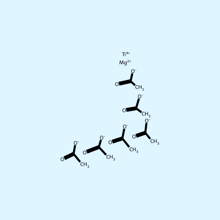 CC(=O)[O-].CC(=O)[O-].CC(=O)[O-].CC(=O)[O-].CC(=O)[O-].CC(=O)[O-].[Mg+2].[Ti+4]